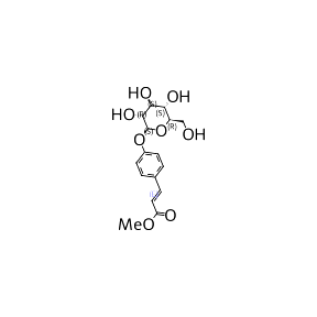 COC(=O)/C=C/c1ccc(O[C@@H]2O[C@H](CO)[C@@H](O)[C@H](O)[C@H]2O)cc1